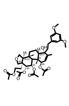 COc1cc(CC[C@@]2(O)C(C)=C[C@@H](OC(C)=O)[C@]3(C)C4[C@H](OC(C)=O)[C@H](OC(C)=O)[C@@]5(CCOC(C)=O)COC[C@H]5[C@]4(C)CC[C@H]32)cc(OC)c1